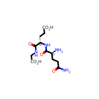 NC(=O)CC[C@H](N)C(=O)N[C@@H](CCC(=O)O)C(=O)NCC(=O)O